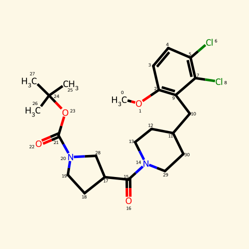 COc1ccc(Cl)c(Cl)c1CC1CCN(C(=O)C2CCN(C(=O)OC(C)(C)C)C2)CC1